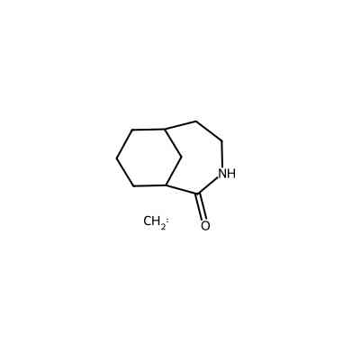 O=C1NCCC2CCCC1C2.[CH2]